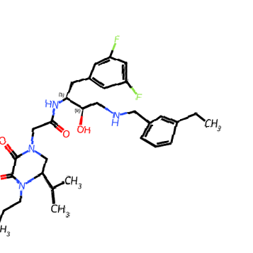 CCCN1C(=O)C(=O)N(CC(=O)N[C@@H](Cc2cc(F)cc(F)c2)[C@H](O)CNCc2cccc(CC)c2)CC1C(C)C